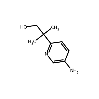 CC(C)(CO)c1ccc(N)cn1